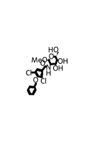 CO[C@H]1O[C@H](CO)[C@@H](O)[C@H](O)[C@H]1NC(=O)c1cc(Cl)c(OCc2ccccc2)c(Cl)c1